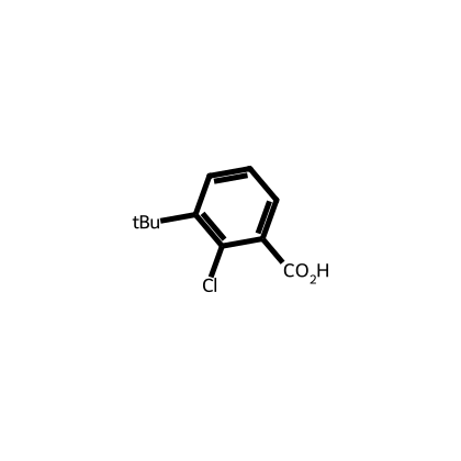 CC(C)(C)c1cccc(C(=O)O)c1Cl